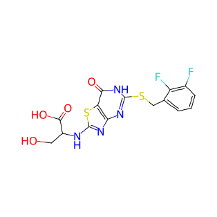 O=C(O)C(CO)Nc1nc2nc(SCc3cccc(F)c3F)[nH]c(=O)c2s1